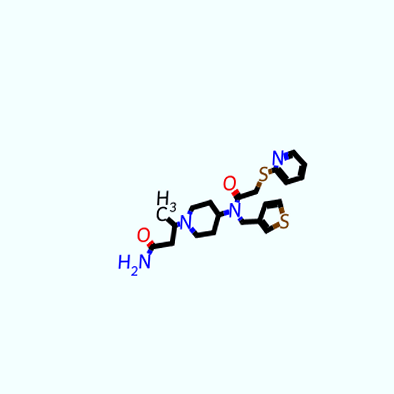 CC(CC(N)=O)N1CCC(N(Cc2ccsc2)C(=O)CSc2ccccn2)CC1